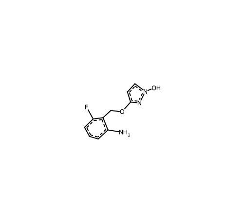 Nc1cccc(F)c1COc1ccn(O)n1